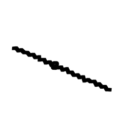 CCCCCCCCCCCCCCCCCCCCOCCCCCCCCCCCCCCC